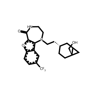 O=C1NCCN(CC[C@H]2CC[C@@]3(CO)CC3C2)c2c1oc1ccc(C(F)(F)F)cc21